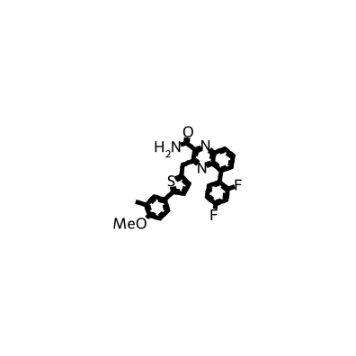 COc1ccc(-c2ccc(Cc3nc4c(-c5ccc(F)cc5F)cccc4nc3C(N)=O)s2)cc1C